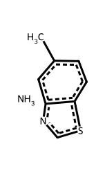 Cc1ccc2scnc2c1.N